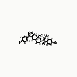 COCC12Cc3cnn(-c4ccc(F)cc4)c3C=C1CCN(S(=O)(=O)c1ccc(Br)cc1)C2